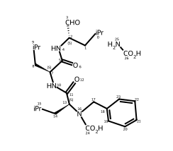 CC(C)C[C@@H](C=O)NC(=O)[C@H](CC(C)C)NC(=O)[C@H](CC(C)C)N(Cc1ccccc1)C(=O)O.NC(=O)O